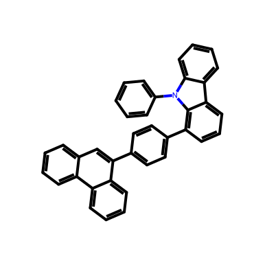 c1ccc(-n2c3ccccc3c3cccc(-c4ccc(-c5cc6ccccc6c6ccccc56)cc4)c32)cc1